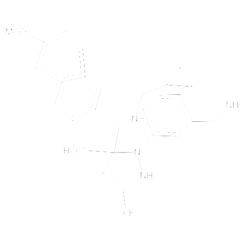 COc1ccc2cc(C(NCC3CC3)C3(C(=O)O)C=C(C(F)(F)F)NN3c3cccc(CN)c3)ccc2c1